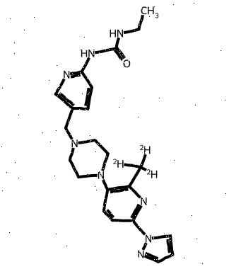 [2H]C([2H])([2H])c1nc(-n2cccn2)ccc1N1CCN(Cc2ccc(NC(=O)NCC)nc2)CC1